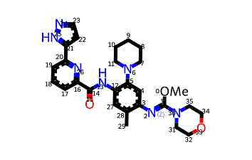 CO/C(=N\c1cc(N2CCCCC2)c(NC(=O)c2cccc(-c3ccn[nH]3)n2)cc1C)N1CCOCC1